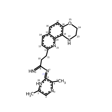 Cc1cnc(C)/c(=N/C(=N)CCc2ccc3ccc4c(c3n2)NCCO4)[nH]1